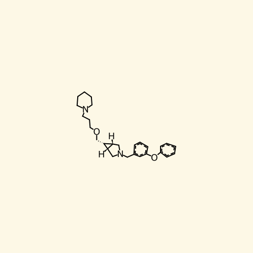 c1ccc(Oc2cccc(CN3C[C@@H]4[C@H](COCCCN5CCCCC5)[C@@H]4C3)c2)cc1